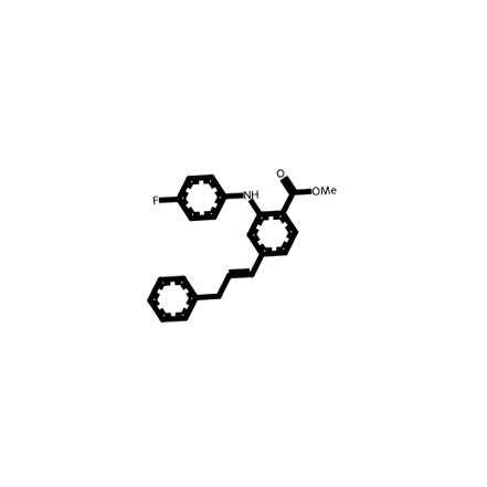 COC(=O)c1ccc(/C=C/Cc2ccccc2)cc1Nc1ccc(F)cc1